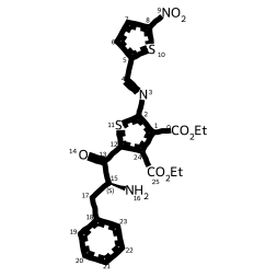 CCOC(=O)c1c(N=Cc2ccc([N+](=O)[O-])s2)sc(C(=O)[C@@H](N)Cc2ccccc2)c1C(=O)OCC